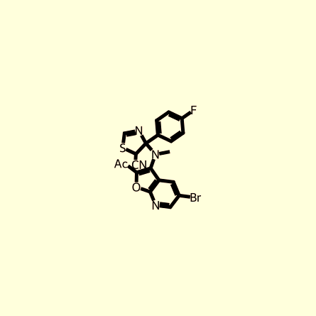 CC(=O)c1oc2ncc(Br)cc2c1N(C)C1(c2ccc(F)cc2)N=CSC1C#N